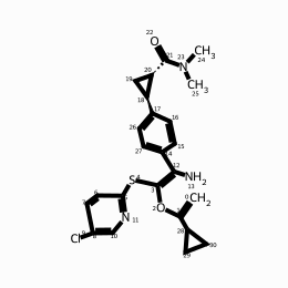 C=C(O/C(Sc1ccc(Cl)cn1)=C(\N)c1ccc([C@H]2C[C@@H]2C(=O)N(C)C)cc1)C1CC1